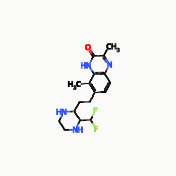 Cc1nc2ccc(CCC3NCCNC3C(F)F)c(C)c2[nH]c1=O